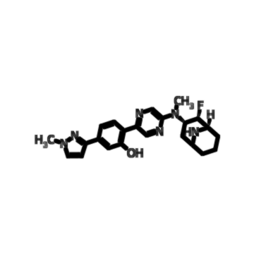 CN(c1cnc(-c2ccc(-c3ccn(C)n3)cc2O)cn1)[C@@H]1CC2CCC[C@H](N2)[C@@H]1F